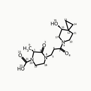 C[C@H]1C(=O)N(CCC(=O)N2CCC3(CC3)[C@H](O)C2)CCN1C(=O)O